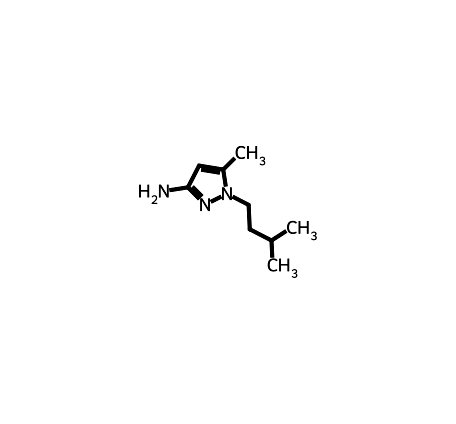 Cc1cc(N)nn1CCC(C)C